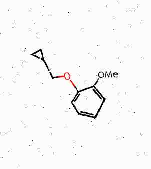 COc1ccccc1OCC1CC1